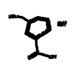 CC(C)(C)c1cccc(S(=O)O)c1.[NaH]